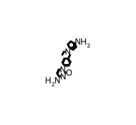 CCN(Cc1ccc(-n2ccc(N)nc2=O)cc1)C12CCC(N)(CC1)C2